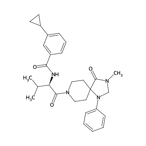 CC(C)[C@@H](NC(=O)c1cccc(C2CC2)c1)C(=O)N1CCC2(CC1)C(=O)N(C)CN2c1ccccc1